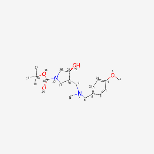 COc1ccc(CN(C)C[C@@H]2CN(C(=O)OC(C)(C)C)C[C@H]2O)cc1